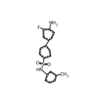 Cc1cccc(NS(=O)(=O)c2ccc(-c3ccc(N)c(F)c3)cc2)c1